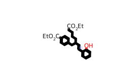 CCOC(=O)CCCCC(/C=C/c1ccccc1O)Cc1ccc(C(=O)OCC)cc1